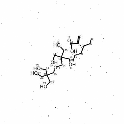 C=CC(=O)O.CCCCCC.OCC(CO)(CO)COCC(CO)(CO)CO